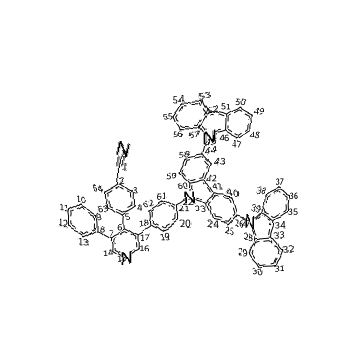 N#Cc1ccc(-c2c(-c3ccccc3)cncc2-c2ccc(-n3c4ccc(-n5c6ccccc6c6ccccc65)cc4c4cc(-n5c6ccccc6c6ccccc65)ccc43)cc2)cc1